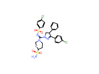 NS(=O)(=O)C1CCN(C(=NS(=O)(=O)c2ccc(Cl)cc2)N2CC(c3ccccc3)C(c3ccc(Cl)cc3)=N2)CC1